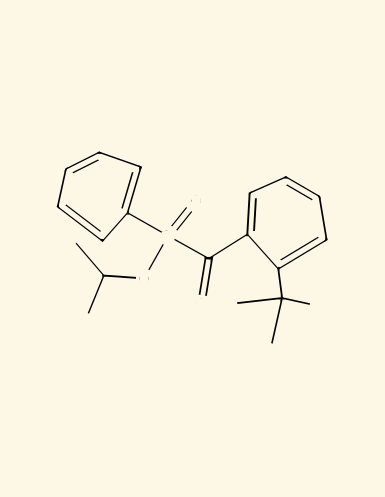 CC(C)OP(=O)(C(=O)c1ccccc1C(C)(C)C)c1ccccc1